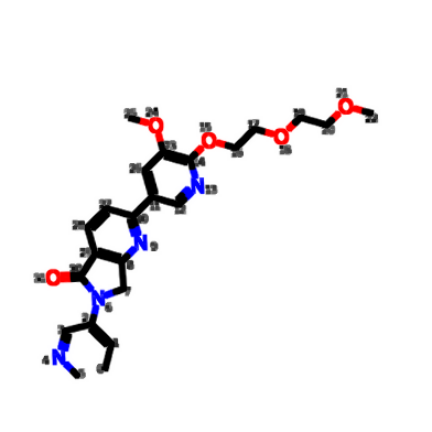 C/C=C(\C=N/C)N1Cc2nc(-c3cnc(OCCOCCOC)c(OC)c3)ccc2C1=O